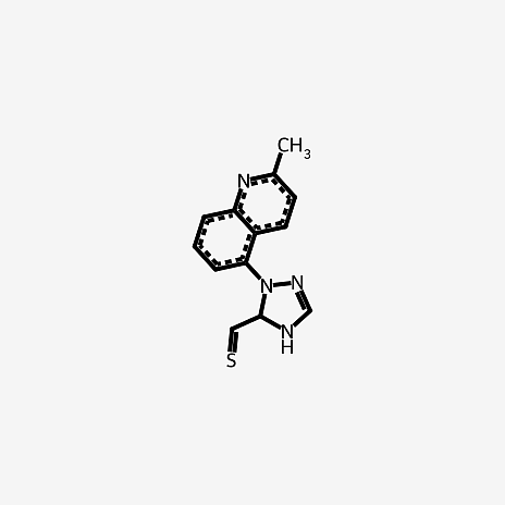 Cc1ccc2c(N3N=CNC3C=S)cccc2n1